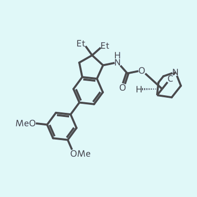 CCC1(CC)Cc2cc(-c3cc(OC)cc(OC)c3)ccc2C1NC(=O)O[C@H]1CN2CCC1CC2